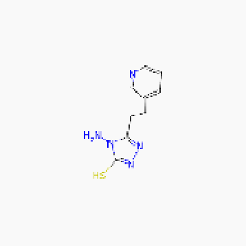 Nn1c(S)nnc1CCc1cccnc1